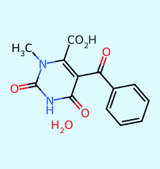 Cn1c(C(=O)O)c(C(=O)c2ccccc2)c(=O)[nH]c1=O.O